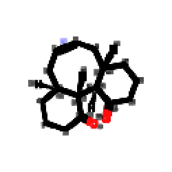 O=C1CCC[C@H]2C/C=C\C[C@@H]3CCCC(=O)[C@H]3[C@H]12